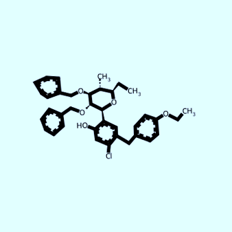 CCOc1ccc(Cc2cc([C@@H]3O[C@H](CC)[C@@H](C)[C@H](OCc4ccccc4)[C@H]3OCc3ccccc3)c(O)cc2Cl)cc1